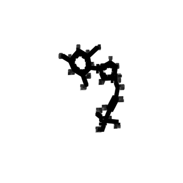 Cc1cc(C)c(-n2cc[n+](CC#C[Si](C)(C)C)c2)c(C)c1